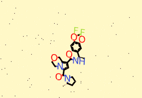 C[C@@H](NC(=O)c1cc(C(=O)N2CCC[C@@H]2C)n2c1COCC2)c1ccc2c(c1)OC(F)(F)O2